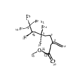 C=C(CC(F)(F)C(F)C(F)(F)F)C(=O)OC